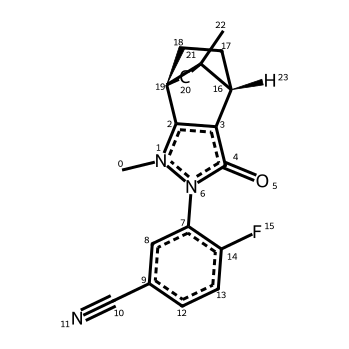 Cn1c2c(c(=O)n1-c1cc(C#N)ccc1F)[C@H]1CC[C@@]23CC13C